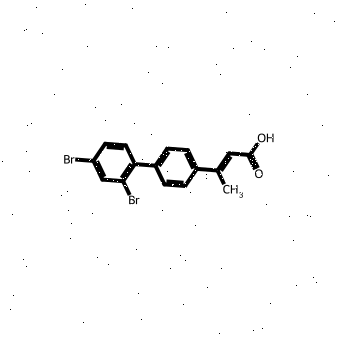 CC(=CC(=O)O)c1ccc(-c2ccc(Br)cc2Br)cc1